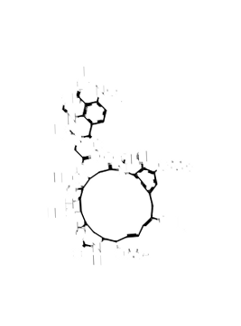 C=Cc1c([N+](=O)[O-])ccc(C(=O)N(C)CC(=O)O[C@H]2CC(=O)N(C)c3cc(cc(OC)c3Cl)C/C(C)=C/C=C/[C@@H](OC)C3C[C@H](OC(=O)N3)[C@@H](C)[C@@H]3O[C@@]23C)c1/N=C\C